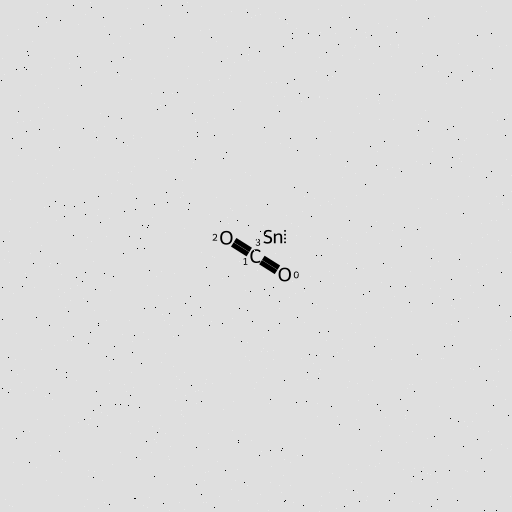 O=C=O.[Sn]